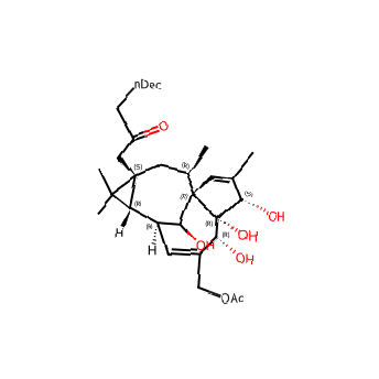 CCCCCCCCCCCC(=O)C[C@@]12C[C@@H](C)[C@]34C=C(C)[C@H](O)[C@@]3(O)[C@H](O)C(COC(C)=O)=C[C@H](C4O)[C@@H]1C2(C)C